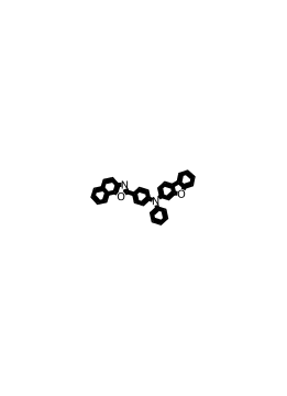 c1ccc(N(c2ccc(-c3nc4ccc5ccccc5c4o3)cc2)c2ccc3c(c2)oc2ccccc23)cc1